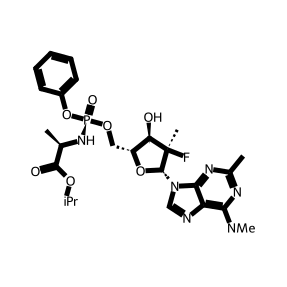 CNc1nc(C)nc2c1ncn2[C@@H]1O[C@H](CO[P@](=O)(N[C@H](C)C(=O)OC(C)C)Oc2ccccc2)[C@@H](O)[C@@]1(C)F